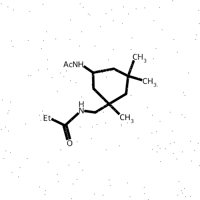 CCC(=O)NCC1(C)CC(NC(C)=O)CC(C)(C)C1